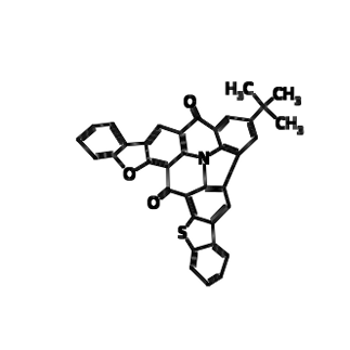 CC(C)(C)c1cc2c(=O)c3cc4c5ccccc5oc4c4c(=O)c5c6sc7ccccc7c6cc6c(c1)c2n(c34)c65